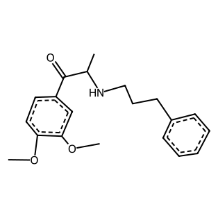 COc1ccc(C(=O)C(C)NCCCc2ccccc2)cc1OC